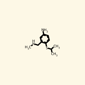 CNCc1cc(N)ccc1SC(C)C